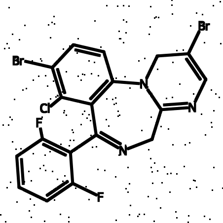 Fc1cccc(F)c1C1=NCC2=NC=C(Br)CN2c2ccc(Br)c(Cl)c21